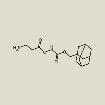 NCCC(=O)ONC(=O)OCC12CC3CC(CC(C3)C1)C2